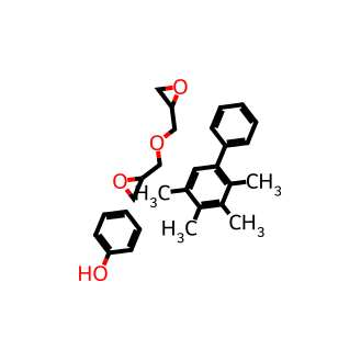 C(OCC1CO1)C1CO1.Cc1cc(-c2ccccc2)c(C)c(C)c1C.Oc1ccccc1